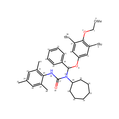 COCOc1c(C(C)(C)C)cc(OC(c2ccccc2)N(C(=O)Nc2c(C)cc(C)cc2C)C2CCCCCC2)cc1C(C)(C)C